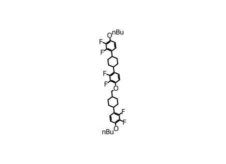 CCCCOc1ccc(C2CCC(COc3ccc(C4CCC(c5ccc(OCCCC)c(F)c5F)CC4)c(F)c3F)CC2)c(F)c1F